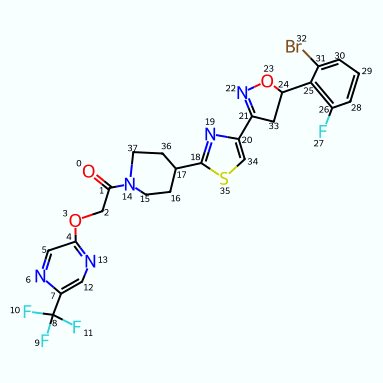 O=C(COc1cnc(C(F)(F)F)cn1)N1CCC(c2nc(C3=NOC(c4c(F)cccc4Br)C3)cs2)CC1